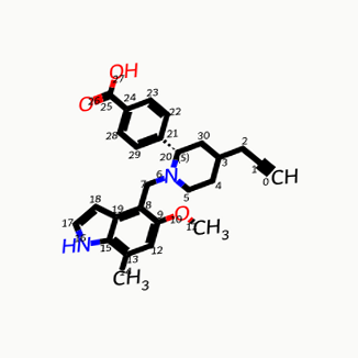 C#CCC1CCN(Cc2c(OC)cc(C)c3[nH]ccc23)[C@H](c2ccc(C(=O)O)cc2)C1